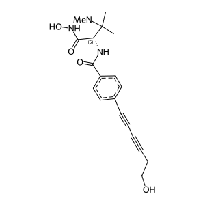 CNC(C)(C)[C@H](NC(=O)c1ccc(C#CC#CCCO)cc1)C(=O)NO